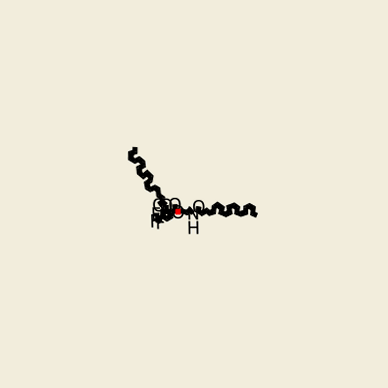 CC/C=C\C/C=C\C/C=C\C/C=C\C/C=C\C/C=C\CCC(=O)NCCCOC(=O)c1ccc(C(F)(F)F)cc1OC(=O)CC/C=C\C/C=C\C/C=C\C/C=C\C/C=C\C/C=C\CC